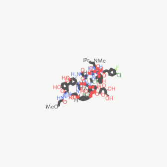 CN[C@H](CC(C)C)C(=O)N[C@H]1C(=O)N[C@@H](CC(N)=O)C(=O)N[C@H]2C(=O)N[C@H]3C(=O)N[C@H](C(=O)N[C@@H](C(=O)NNC(=O)CCOC)c4cc(O)cc(O)c4-c4cc3ccc4O)[C@H](O)c3ccc(c(Cl)c3)Oc3cc2cc(c3O[C@@H]2O[C@H](CO)[C@@H](O)[C@H](O)[C@H]2O[C@H]2C[C@](C)(NCCn3ccc(NC(=O)Cc4ccc(Cl)c(F)c4)nc3=O)[C@H](O)[C@H](C)O2)Oc2ccc(cc2Cl)[C@H]1O